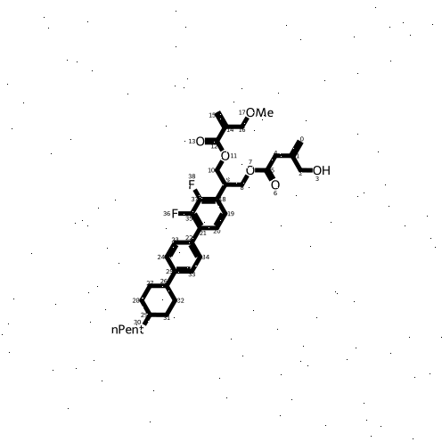 C=C(CO)CC(=O)OCC(COC(=O)C(=C)COC)c1ccc(-c2ccc(C3CCC(CCCCC)CC3)cc2)c(F)c1F